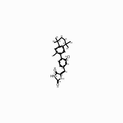 Cc1cc2c(cc1-c1ccc(C=C3SC(=O)NC3=O)cc1Cl)C(C)(C)CCC2(C)C